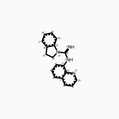 N=C(Nc1cccc2cccnc12)N1CCc2ccccc21